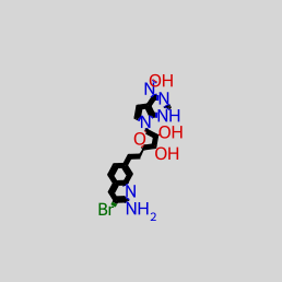 Nc1nc2cc(CC[C@H]3O[C@@H](n4ccc5/c(=N/O)nc[nH]c54)[C@H](O)[C@@H]3O)ccc2cc1Br